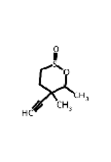 C#CC1(C)CCS(=O)OC1C